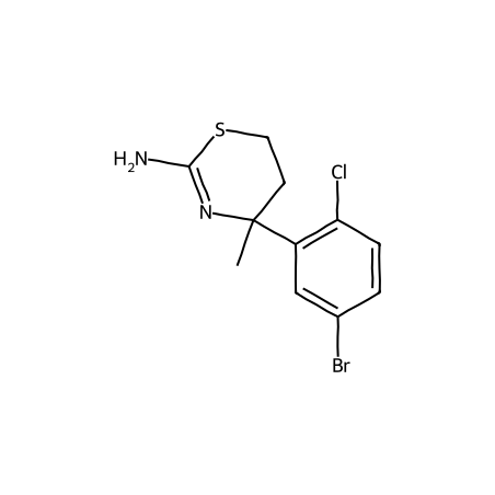 CC1(c2cc(Br)ccc2Cl)CCSC(N)=N1